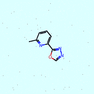 Cc1cccc(-c2nnco2)n1